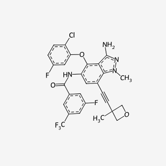 Cn1nc(N)c2c(Oc3cc(F)ccc3Cl)c(NC(=O)c3cc(F)cc(C(F)(F)F)c3)cc(C#CC3(C)COC3)c21